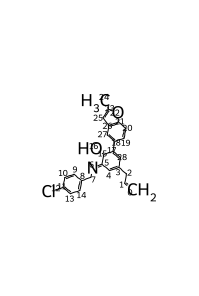 C=CCC1=C/C(=N\Cc2ccc(Cl)cc2)C(O)C(c2ccc3oc(C)cc3c2)=C1